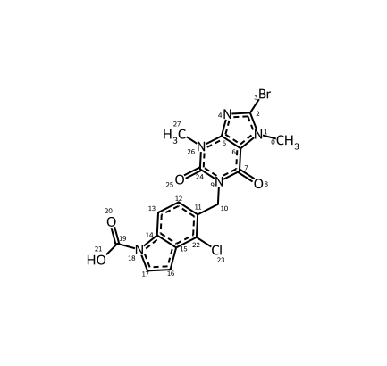 Cn1c(Br)nc2c1c(=O)n(Cc1ccc3c(ccn3C(=O)O)c1Cl)c(=O)n2C